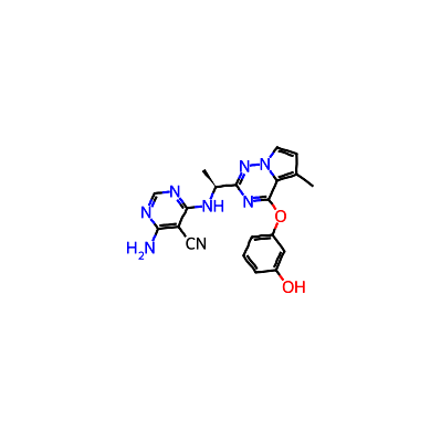 Cc1ccn2nc([C@H](C)Nc3ncnc(N)c3C#N)nc(Oc3cccc(O)c3)c12